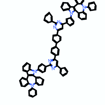 c1ccc(-c2cc(-c3ccc(-c4ccc(-c5cc(-c6cccc(-n7c8c(c9ccccc97)-c7ccccc7N(c7ccccc7)c7ccccc7-8)c6)nc(-c6ccccc6)n5)cc4)cc3)nc(-c3ccc(-n4c5c(c6ccccc64)-c4ccccc4N(c4ccccc4)c4ccccc4-5)cc3)n2)cc1